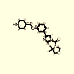 CC1(C)COCN1C(=O)n1cnc(-c2cccc(OCC3CCNCC3)c2)c1